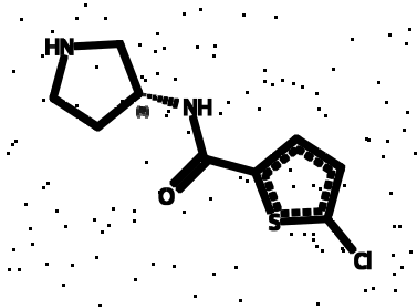 O=C(N[C@@H]1CCNC1)c1ccc(Cl)s1